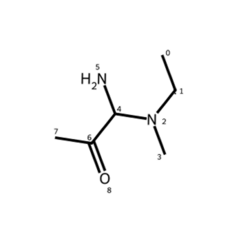 C[CH]N(C)C(N)C(C)=O